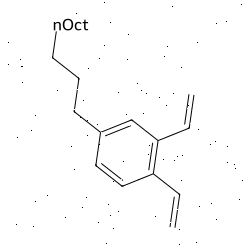 C=Cc1ccc(CCCCCCCCCCC)cc1C=C